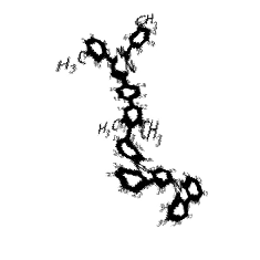 Cc1cccc(-c2cc(-c3ccc(-c4cc(C)c(-c5ccc(-n6c7ccccc7c7cc(-n8c9ccccc9c9ccccc98)ccc76)cc5)c(C)c4)cc3)nc(-c3cccc(C)c3)n2)c1